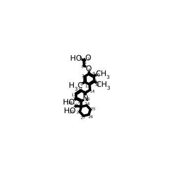 Cc1cc(OCC(=O)O)c(C)c(C)c1Cc1ccc(O)c(C2(CO)CCCCC2)n1